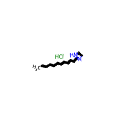 CCCCCCCCCCCC1=NCCN1.Cl